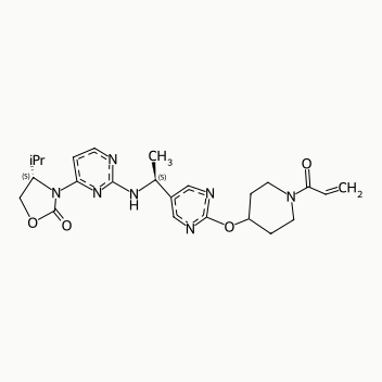 C=CC(=O)N1CCC(Oc2ncc([C@H](C)Nc3nccc(N4C(=O)OC[C@@H]4C(C)C)n3)cn2)CC1